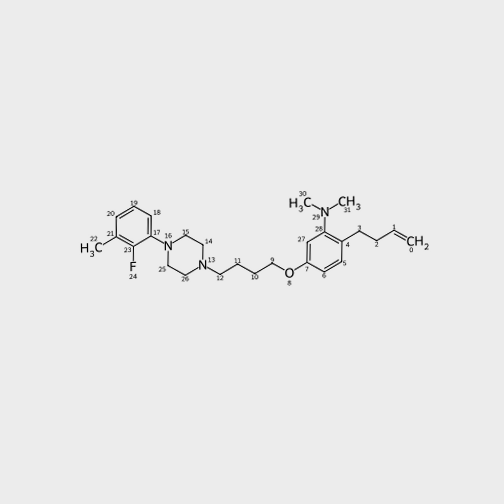 C=CCCc1ccc(OCCCCN2CCN(c3cccc(C)c3F)CC2)cc1N(C)C